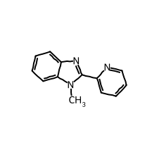 Cn1c(-c2ccccn2)nc2ccccc21